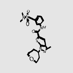 Cc1nn(C2CCOCC2)c2sc(C(=O)Nc3cccc(S(=O)(=O)N(C)C)c3)cc12